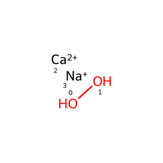 OO.[Ca+2].[Na+]